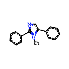 CCn1c(-c2ccccc2)cnc1-c1ccccc1